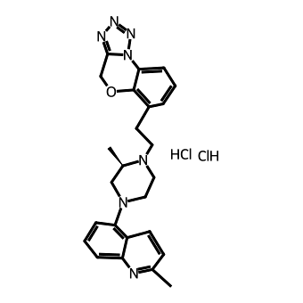 Cc1ccc2c(N3CCN(CCc4cccc5c4OCc4nnnn4-5)[C@H](C)C3)cccc2n1.Cl.Cl